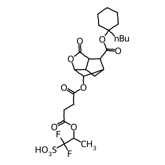 CCCCC1(OC(=O)C2C3CC4C(OC(=O)C42)C3OC(=O)CCC(=O)OC(C)C(F)(F)S(=O)(=O)O)CCCCC1